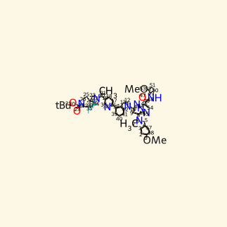 COc1ccc(CN(C)c2cc(N3CCc4c(-c5ccc([C@H](C)N6CC7(CCN(C(=O)OC(C)(C)C)CC7(F)F)C6)cn5)cccc43)nn3c(C(=O)N[C@@H]4CC[C@H]4OC)cnc23)cc1